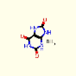 B.O=c1[nH]c(=O)c2[nH]c(=O)[nH]c2[nH]1